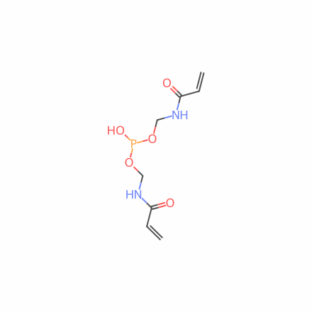 C=CC(=O)NCOP(O)OCNC(=O)C=C